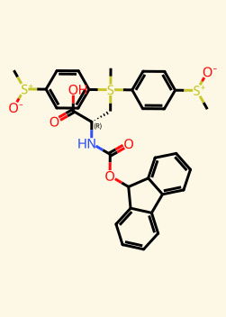 C[S+]([O-])c1ccc(S(C)(C[C@H](NC(=O)OC2c3ccccc3-c3ccccc32)C(=O)O)c2ccc([S+](C)[O-])cc2)cc1